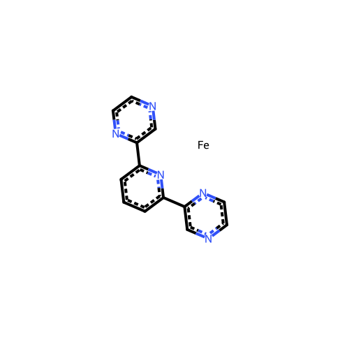 [Fe].c1cc(-c2cnccn2)nc(-c2cnccn2)c1